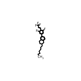 CCCCCCCC1CCc2cc(-c3cc(F)c(/C=C/C(F)(F)F)c(F)c3)ccc2C1